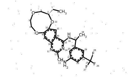 CC[C@H]1COCCOc2cc3nc(C)nc(NC(C)c4cc(N)cc(C(F)(F)F)c4)c3cc2O1